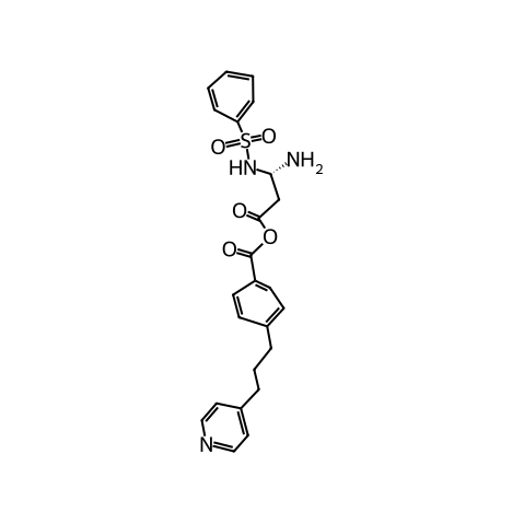 N[C@H](CC(=O)OC(=O)c1ccc(CCCc2ccncc2)cc1)NS(=O)(=O)c1ccccc1